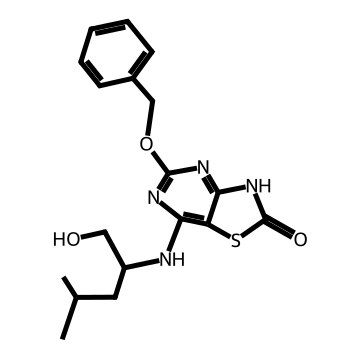 CC(C)CC(CO)Nc1nc(OCc2ccccc2)nc2[nH]c(=O)sc12